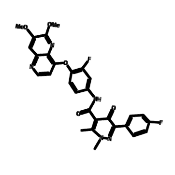 COc1cc2nccc(Oc3ccc(NC(=O)c4c(C)n(C)nc(-c5ccc(F)cc5)c4=O)cc3F)c2nc1OC